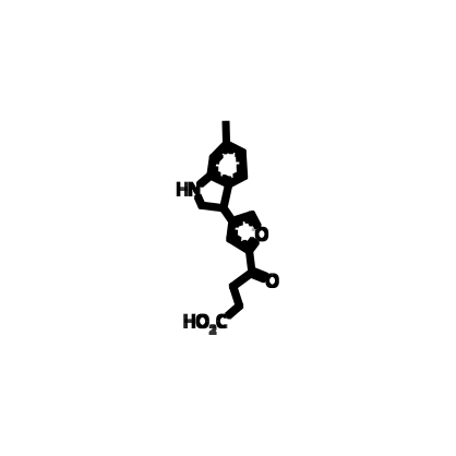 Cc1ccc2c(c1)NCC2c1coc(C(=O)CCC(=O)O)c1